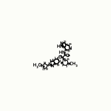 C[C@H]1CC[C@H](c2ccc3cn(C4CCN(C)C4)nc3c2)N(C(=O)C(=O)Nc2cncc3cn[nH]c23)C1